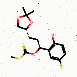 CSC(=S)O[C@@H](CC[C@@H]1COC(C)(C)O1)c1cc(F)ccc1O